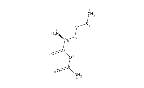 CSCC[C@H](N)C(=O)OC(N)=O